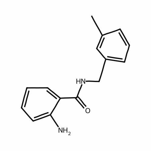 Cc1cccc(CNC(=O)c2ccccc2N)c1